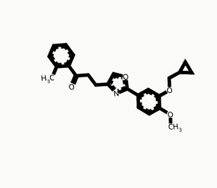 COc1ccc(-c2nc(CCC(=O)c3ccccc3C)co2)cc1OCC1CC1